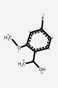 COc1cc(F)ccc1C(C)O